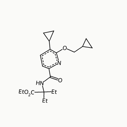 CCOC(=O)C(CC)(CC)NC(=O)c1ccc(C2CC2)c(OCC2CC2)n1